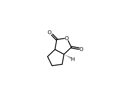 O=C1OC(=O)[C@H]2CCCC12